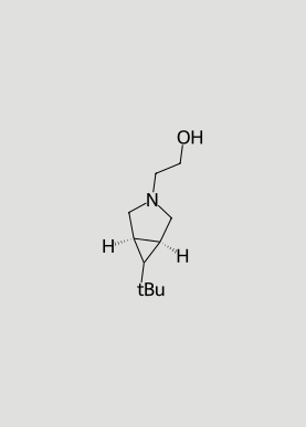 CC(C)(C)C1[C@H]2CN(CCO)C[C@@H]12